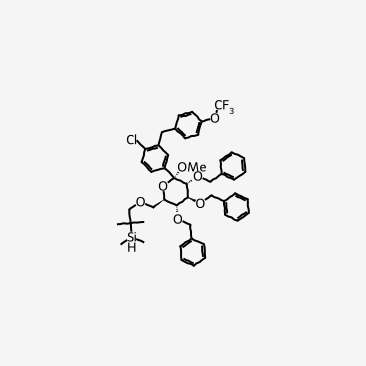 CO[C@@]1(c2ccc(Cl)c(Cc3ccc(OC(F)(F)F)cc3)c2)O[C@H](COCC(C)(C)[SiH](C)C)[C@@H](OCc2ccccc2)[C@H](OCc2ccccc2)[C@H]1OCc1ccccc1